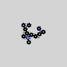 C1=CCC2C(=C1)N(c1ccccc1)c1cc3c(cc12)sc1ccc(C2=C(c4nc(-c5ccccc5)nc(C5CC=CCC5)n4)C=C(c4ccc5c(c4)C4=CC6C(CC4S5)C4=CC=CCC4N6C4C=CC=CC4)CC2)cc13